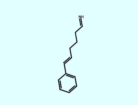 N=CCCCC=Cc1ccccc1